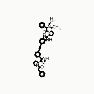 CCN(CC)[C@@H](C(=O)N1CCC[C@H]1c1nc2ccc(C#Cc3cccc(-c4[nH]cnc4[C@@H]4CCCN4C(=O)Cc4ccccc4)c3)cc2[nH]1)c1ccccc1